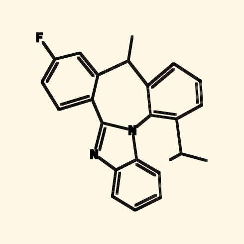 CC(C)c1cccc2c1-n1c(nc3ccccc31)-c1ccc(F)cc1C2C